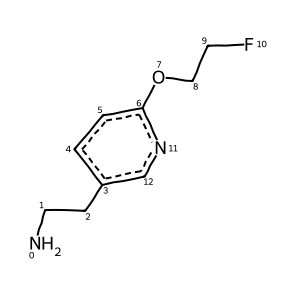 NCCc1ccc(OCCF)nc1